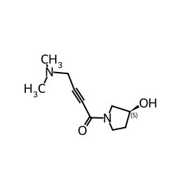 CN(C)CC#CC(=O)N1CC[C@H](O)C1